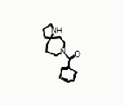 O=C(c1ccccc1)N1CCCC2(CCCN2)CC1